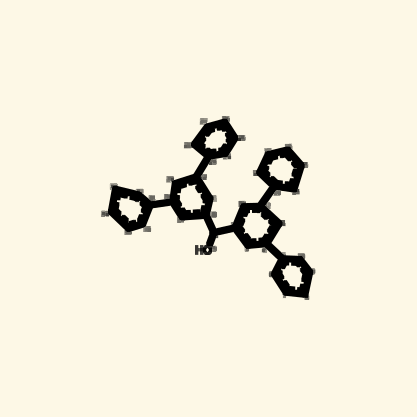 O[C](c1cc(-c2ccccc2)cc(-c2ccccc2)c1)c1cc(-c2ccccc2)cc(-c2ccccc2)c1